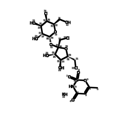 CC1=CC(=O)NS(=O)(=O)O1.OC[C@H]1O[C@H](O[C@]2(CCl)O[C@H](CCl)[C@@H](O)[C@@H]2O)[C@H](O)[C@@H](O)[C@H]1Cl.[KH]